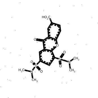 CN(C)S(=O)(=O)c1cc(S(=O)(=O)N(C)C)c2oc3ccc(C(=O)O)cc3c(=O)c2c1